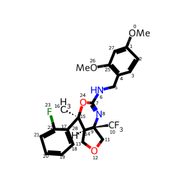 COc1ccc(CNC2=N[C@]3(C(F)(F)F)COC[C@H]3[C@@](C)(c3ccccc3F)O2)c(OC)c1